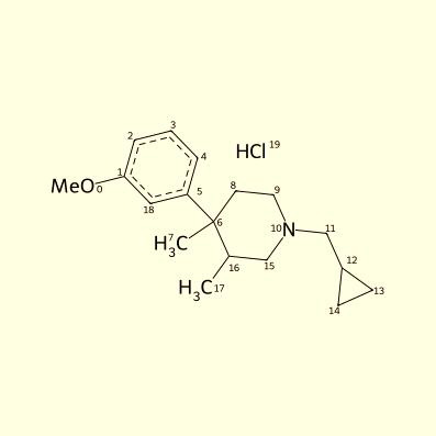 COc1cccc(C2(C)CCN(CC3CC3)CC2C)c1.Cl